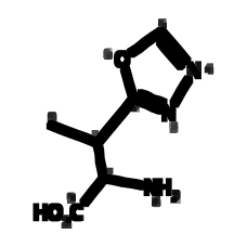 CC(c1nnco1)C(N)C(=O)O